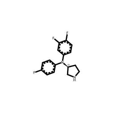 Fc1ccc(N(c2ccc(F)c(F)c2)[C@H]2CCNC2)cc1